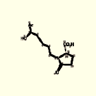 CC(=O)C(O)CCCCN1C(=O)CC[C@H]1C(=O)O